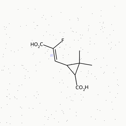 CC1(C)C(/C=C(\F)C(=O)O)C1C(=O)O